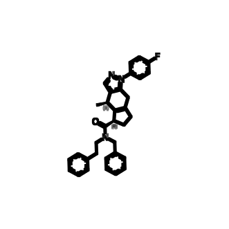 C[C@@H]1C2=C(CC[C@H]2C(=O)N(CCc2ccccc2)Cc2ccccc2)Cc2c1cnn2-c1ccc(F)cc1